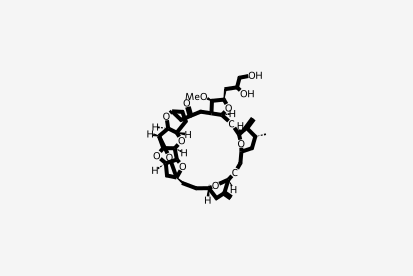 C=C1C[C@@H]2CC[C@@]34C[C@H]5OC6[C@@H](O[C@H]7CCC(CC(=O)CC8[C@H](C[C@H]9OC(CC[C@@H]1O2)C[C@@H](C)C9=C)O[C@H](CC(O)CO)[C@@H]8OC)O[C@@H]7[C@@H]6O3)C5O4